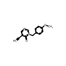 C#Cc1cncn(Cc2ccc(OC)cc2)c1=O